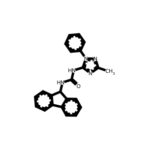 Cc1nc(NC(=O)NC2c3ccccc3-c3ccccc32)n(-c2ccccc2)n1